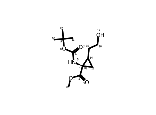 COC(=O)[C@@]1(NC(=O)OC(C)(C)C)CC1CCO